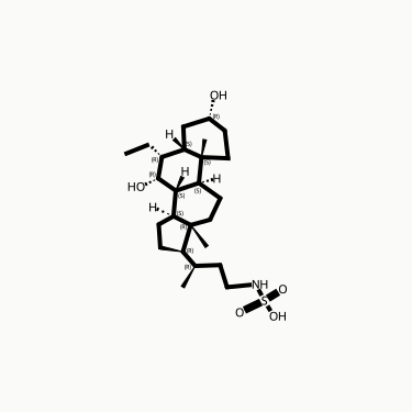 CC[C@H]1[C@@H](O)[C@@H]2[C@H](CC[C@]3(C)[C@@H]([C@H](C)CCNS(=O)(=O)O)CC[C@@H]23)[C@@]2(C)CC[C@@H](O)C[C@@H]12